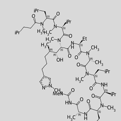 CC[C@H](NC(=O)[C@H]([C@H](O)[C@H](C)CCCc1cnn(C)c1)N(C)C(=O)[C@H](C(C)C)N(C)C(=O)[C@H](CC(C)C)N(C)C(=O)CCC(C)C)C(=O)N(C)[C@H](C)C(=O)N(C)[C@@H](CC(C)C)C(=O)N[C@H](C(=O)N(C)[C@@H](CC(C)C)C(=O)N[C@H](C)C(=O)NC(=O)NC)C(C)C